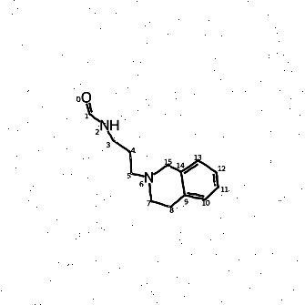 O=CNCCCN1CCc2ccccc2C1